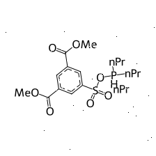 CCC[PH](CCC)(CCC)OS(=O)(=O)c1cc(C(=O)OC)cc(C(=O)OC)c1